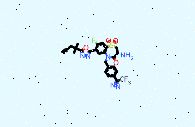 C#CCC(C)(C)c1nnc(-c2cc3c(cc2F)S(=O)(=O)C[C@H](N)C(=O)N3Cc2ccc(C3(C(F)(F)F)N=N3)cc2)o1